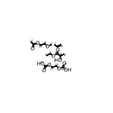 C=CC.CCOC(=O)C(C)O.COCCOC(C)=O.O=C(O)OCCOC(=O)O